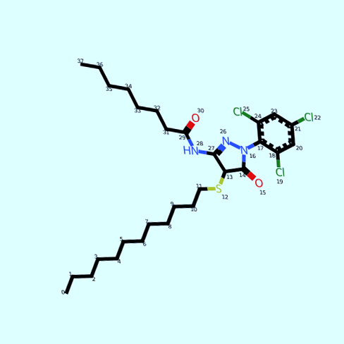 CCCCCCCCCCCCSC1C(=O)N(c2c(Cl)cc(Cl)cc2Cl)N=C1NC(=O)CCCCCCC